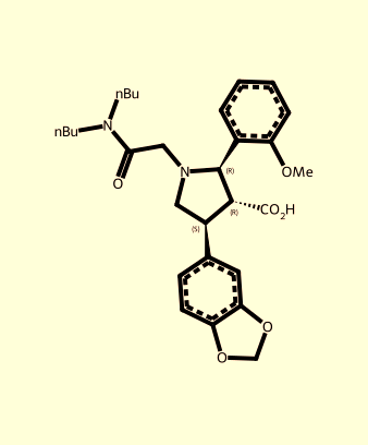 CCCCN(CCCC)C(=O)CN1C[C@H](c2ccc3c(c2)OCO3)[C@@H](C(=O)O)[C@@H]1c1ccccc1OC